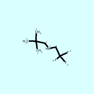 CC(C)(C)CNCC(F)(F)F